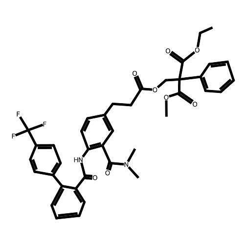 CCOC(=O)C(COC(=O)CCc1ccc(NC(=O)c2ccccc2-c2ccc(C(F)(F)F)cc2)c(C(=O)N(C)C)c1)(C(=O)OC)c1ccccc1